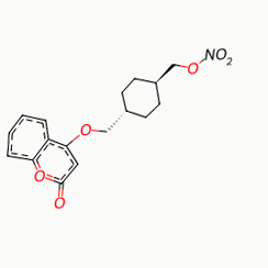 O=c1cc(OC[C@H]2CC[C@H](CO[N+](=O)[O-])CC2)c2ccccc2o1